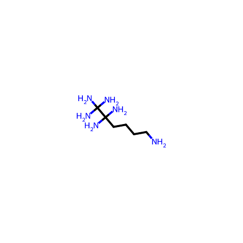 NCCCCC(N)(N)C(N)(N)N